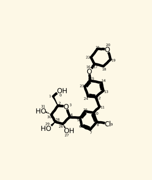 OC[C@H]1OC(c2ccc(Cl)c(Cc3ccc(OC4CCOCC4)cc3)c2)[C@H](O)[C@@H](O)[C@@H]1O